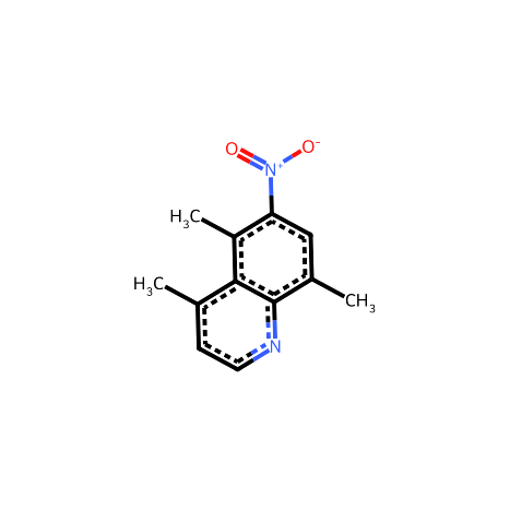 Cc1cc([N+](=O)[O-])c(C)c2c(C)ccnc12